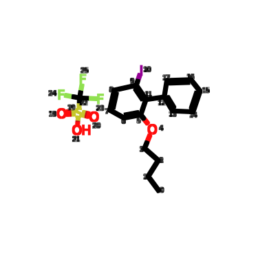 CCCCOc1cccc(I)c1-c1ccccc1.O=S(=O)(O)C(F)(F)F